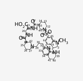 CN1CCc2ccc(S(=O)(=O)N3CCC[C@@H](C(=O)N[C@@H](CNC(=O)[C@@H]4CCCN(CCCc5ccc6c(n5)NCCC6)C4)C(=O)O)C3)cc21